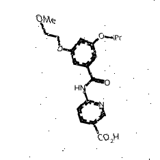 COCCOc1cc(OC(C)C)cc(C(=O)Nc2ccc(C(=O)O)cn2)c1